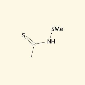 CSNC(C)=S